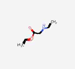 C=CNCC(=O)OC=C